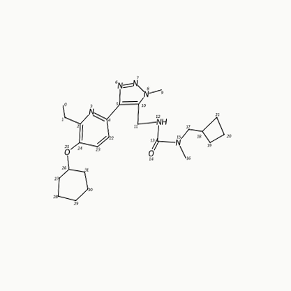 CCc1nc(-c2nnn(C)c2CNC(=O)N(C)CC2CCC2)ccc1OC1CCCCC1